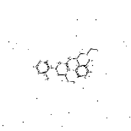 CCCCC(OC(=O)OC(CCCC)c1ccccc1F)c1ccccc1F